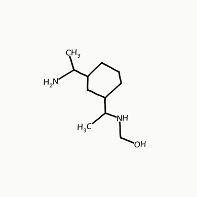 CC(N)C1CCCC(C(C)NCO)C1